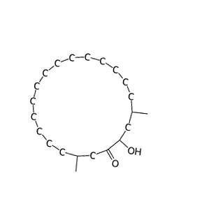 CC1CCCCCCCCCCCCCCC(C)CC(O)C(=O)C1